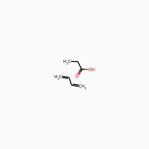 C=CC=C.CCC(=O)O